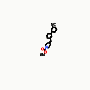 [C-]#[N+]c1cccc(-c2cccc(C=C3CCN(C(=O)OC(C)(C)C)CC3)c2)c1